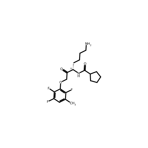 Cc1cc(F)c(F)c(OCC(=O)[C@H](CCCCN)NC(=O)C2CCCC2)c1F